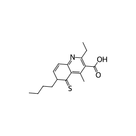 CCCCC1C=Cc2nc(CC)c(C(=O)O)c(C)c2C1=S